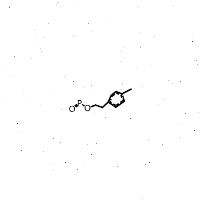 Cc1ccc(CCOP=O)cc1